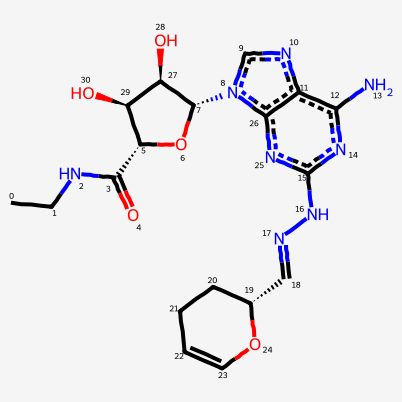 CCNC(=O)[C@H]1O[C@@H](n2cnc3c(N)nc(N/N=C/[C@H]4CCC=CO4)nc32)[C@H](O)[C@@H]1O